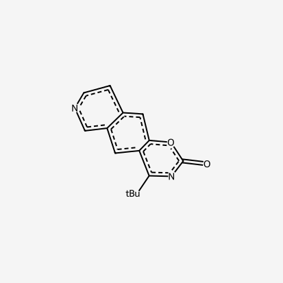 CC(C)(C)c1nc(=O)oc2cc3ccncc3cc12